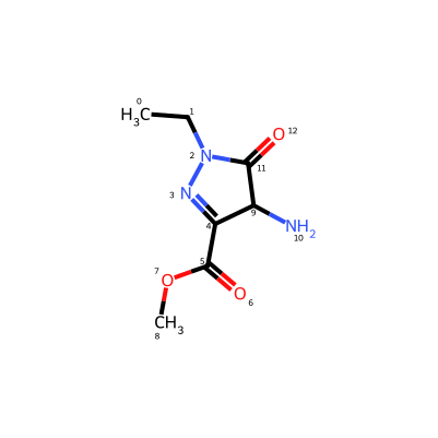 CCN1N=C(C(=O)OC)C(N)C1=O